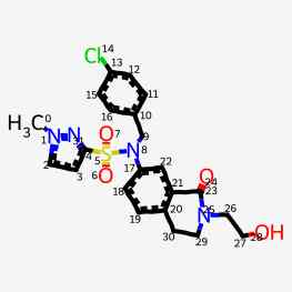 Cn1ccc(S(=O)(=O)N(Cc2ccc(Cl)cc2)c2ccc3c(c2)C(=O)N(CCO)CC3)n1